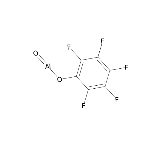 [O]=[Al][O]c1c(F)c(F)c(F)c(F)c1F